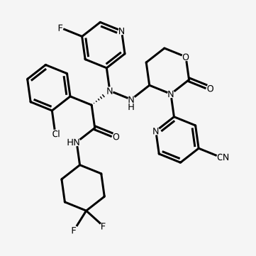 N#Cc1ccnc(N2C(=O)OCCC2NN(c2cncc(F)c2)[C@H](C(=O)NC2CCC(F)(F)CC2)c2ccccc2Cl)c1